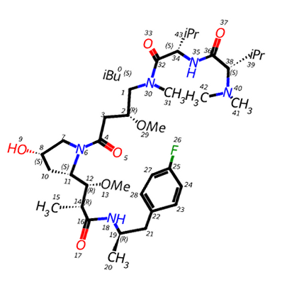 CC[C@H](C)C([C@@H](CC(=O)N1C[C@@H](O)C[C@H]1[C@H](OC)[C@@H](C)C(=O)N[C@H](C)Cc1ccc(F)cc1)OC)N(C)C(=O)[C@@H](NC(=O)[C@H](C(C)C)N(C)C)C(C)C